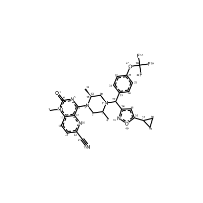 CC1CN(c2nc(=O)n(C)c3ccc(C#N)nc23)[C@@H](C)CN1C(c1ccc(OC(F)(F)F)cc1)c1cc(C2CC2)on1